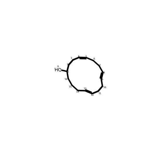 OC1CC/C=C\CC/C=C/CC/C=C/CCC1